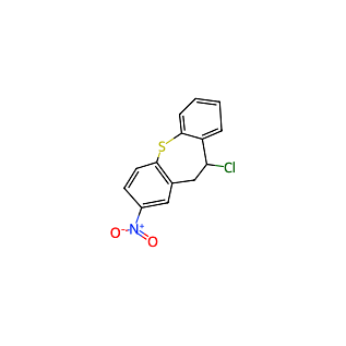 O=[N+]([O-])c1ccc2c(c1)CC(Cl)c1ccccc1S2